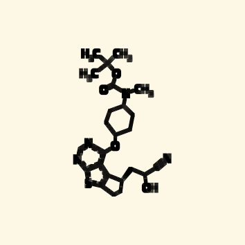 CN(C(=O)OC(C)(C)C)C1CCC(Oc2ncnc3sc4c(c23)[C@@H](CC(O)C#N)CC4)CC1